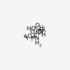 C[C@@H](OC1(C)CC1)[C@H](N)C(=O)N1C[C@H]2[C@@H]([C@H]1C(=O)O)C2(C)C